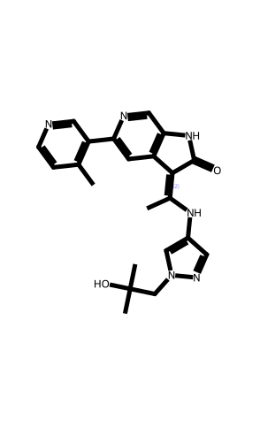 C/C(Nc1cnn(CC(C)(C)O)c1)=C1/C(=O)Nc2cnc(-c3cnccc3C)cc21